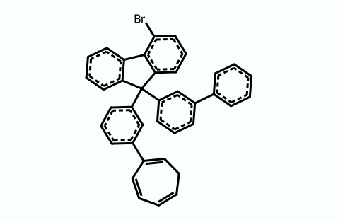 Brc1cccc2c1-c1ccccc1C2(c1cccc(C2=CCC=CC=C2)c1)c1cccc(-c2ccccc2)c1